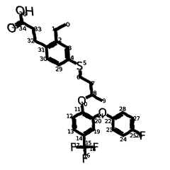 CCc1cc(SCCC(C)Oc2ccc(C(F)(F)F)cc2Oc2ccc(F)cc2)ccc1CCC(=O)O